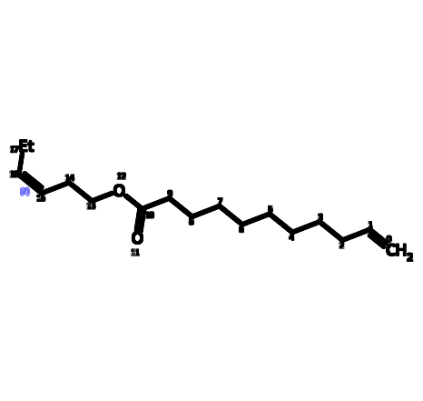 C=CCCCCCCCCC(=O)OCC/C=C\CC